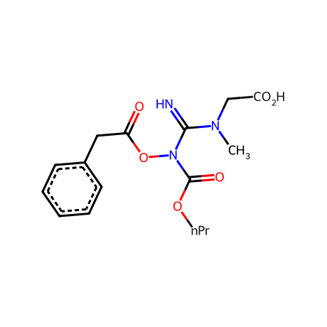 CCCOC(=O)N(OC(=O)Cc1ccccc1)C(=N)N(C)CC(=O)O